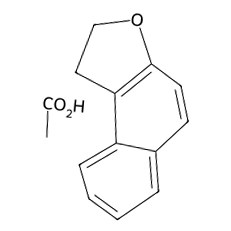 CC(=O)O.c1ccc2c3c(ccc2c1)OCC3